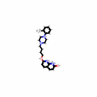 O=c1ccc2ccc(OCCCCN3CCN(c4ccccc4C(F)(F)F)CC3)nc2[nH]1